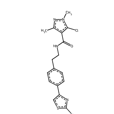 Cc1nc(-c2ccc(CCNC(=O)c3c(C)nn(C)c3Cl)cc2)cs1